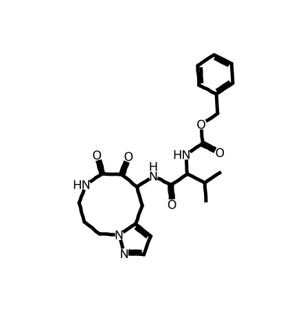 CC(C)C(NC(=O)OCc1ccccc1)C(=O)NC1Cc2ccnn2CCCNC(=O)C1=O